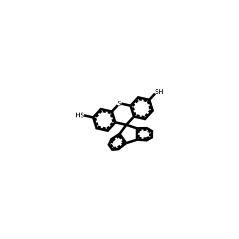 Sc1ccc2c(c1)Sc1cc(S)ccc1C21c2ccccc2-c2ccccc21